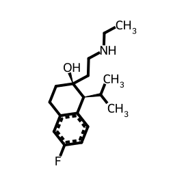 CCNCC[C@@]1(O)CCc2cc(F)ccc2[C@@H]1C(C)C